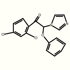 O=C(c1ccc(Cl)cc1Cl)C(Oc1ccccc1)n1ccnc1